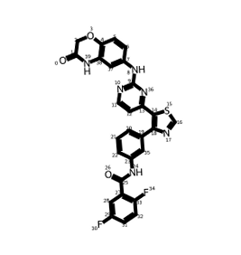 O=C1COc2ccc(Nc3nccc(-c4scnc4-c4cccc(NC(=O)c5cc(F)ccc5F)c4)n3)cc2N1